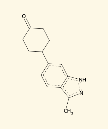 Cc1n[nH]c2cc(C3CCC(=O)CC3)ccc12